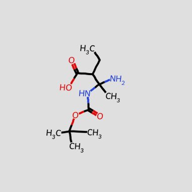 CCC(C(=O)O)C(C)(N)NC(=O)OC(C)(C)C